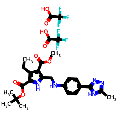 CCc1c(C(=O)OC(C)(C)C)[nH]c(CNc2ccc(-c3nnc(C)[nH]3)cc2)c1C(=O)OC.O=C(O)C(F)(F)F.O=C(O)C(F)(F)F